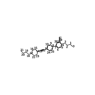 CCCCc1ccc(-c2ccc(C#CC3CCC(CCCC)CC3)cc2)cc1F